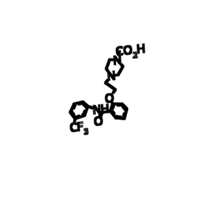 O=C(Nc1cccc(C(F)(F)F)c1)c1ccccc1OCCN1CCN(C(=O)O)CC1